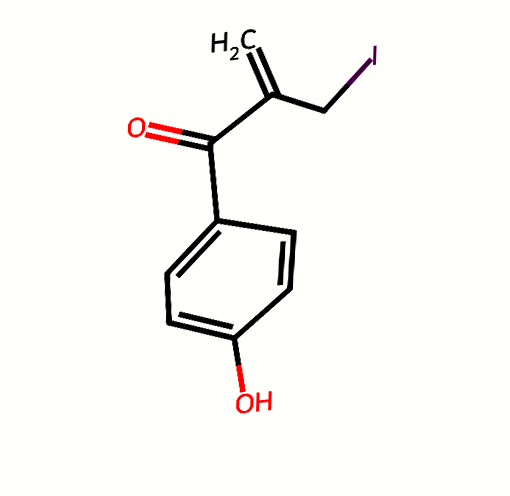 C=C(CI)C(=O)c1ccc(O)cc1